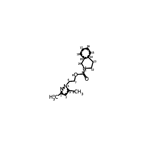 Cc1cc(C)n(CCOC(=O)N2CCc3ccccc3C2)n1